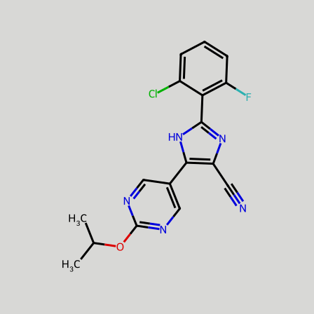 CC(C)Oc1ncc(-c2[nH]c(-c3c(F)cccc3Cl)nc2C#N)cn1